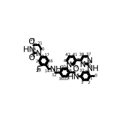 Cc1ccc(NC(=O)c2ccc(CNCc3ccc(N4CCC(=O)NC4=O)cc3F)cc2)cc1Nc1nccc(-c2cccnc2)n1